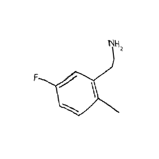 Cc1ccc(F)cc1CN